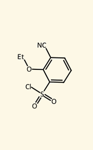 CCOc1c(C#N)cccc1S(=O)(=O)Cl